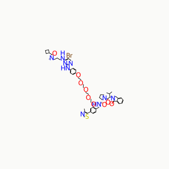 Cc1ncsc1-c1ccc(CNC(=O)[C@@H]2CCCN2C(=O)C(C(C)C)N2Cc3ccccc3C2=O)c(OCCOCCOCCOCCOc2ccc(Nc3ncc(Br)c(NCCCN(C)C(=O)C4CCC4)n3)cc2)c1